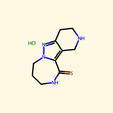 Cl.S=C1NCCCn2nc3c(c21)CNCC3